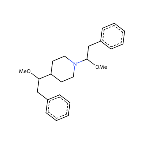 COC(Cc1ccccc1)C1CCN(C(Cc2ccccc2)OC)CC1